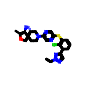 CCn1ncc(C2CC=CC(Sc3cnc(N4CCC5(CC4)CO[C@@H](C)[C@H]5N)cn3)=C2Cl)n1